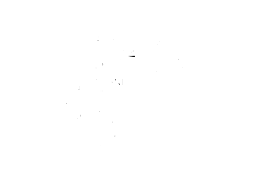 CC1([C@@H](CC2CCCC2)N[C@@H]2CC[CH]C[C@H]2c2ccc(C(F)(F)F)cc2)CCCC1